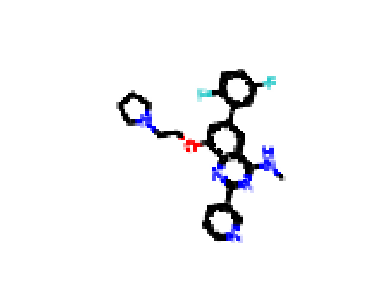 CNc1nc(-c2cccnc2)nc2c(OCCN3CCCC3)cc(-c3cc(F)ccc3F)cc12